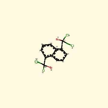 ClC(Cl)(Br)c1cccc2c(C(Cl)(Cl)Br)cccc12